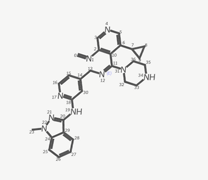 C=Nc1cncc(C2CC2)c1/C(=N\Cc1ccnc(Nc2nn(C)c3ccccc23)c1)N1CCNCC1